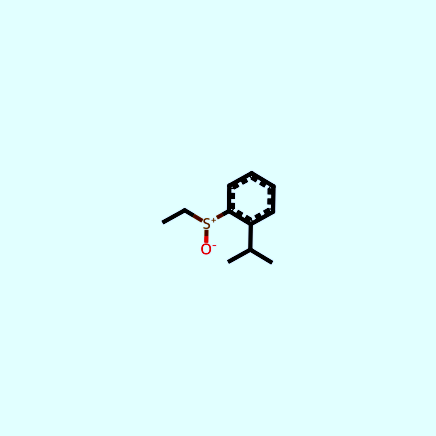 CC[S+]([O-])c1ccccc1C(C)C